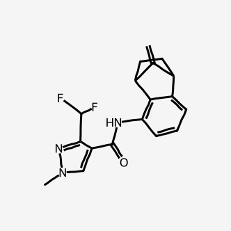 C=C1C2CCC1c1c(NC(=O)c3cn(C)nc3C(F)F)cccc12